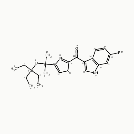 CC[Si](CC)(CC)OC(C)(C)c1csc(C(=O)c2c[nH]c3cc(F)ccc23)n1